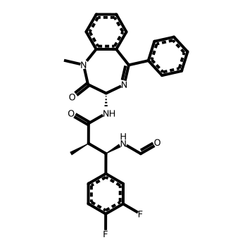 C[C@@H](C(=O)N[C@H]1N=C(c2ccccc2)c2ccccc2N(C)C1=O)[C@@H](NC=O)c1ccc(F)c(F)c1